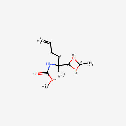 C=CCCC(NC(=O)OC(C)(C)C)(C(=O)O)C1OC(C)O1